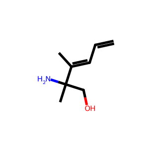 C=C/C=C(\C)C(C)(N)CO